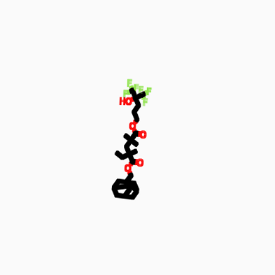 CCC(C)(CC(C)(C)C(=O)OCCCC(O)(C(F)(F)F)C(F)(F)F)C(=O)OCC12CC3CC(CC(C3)C1)C2